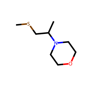 CSCC(C)N1CCOCC1